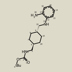 CC(C)(C)OC(=O)NC[C@H]1CC[C@H](CNc2ccccc2N)CC1